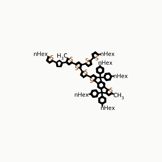 CCCCCCc1ccc(C2(c3ccc(CCCCCC)cc3)c3cc4c(cc3-c3sc(C)cc32)C(c2ccc(CCCCCC)cc2)(c2ccc(CCCCCC)cc2)c2cc(-c3ccc(-c5sc(-c6cc(C7=CC=C(c8ccc(CCCCCC)s8)C7)c(C)s6)cc5-c5ccc(-c6ccc(CCCCCC)s6)s5)s3)sc2-4)cc1